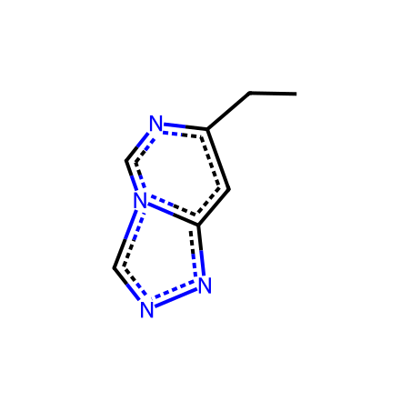 CCc1cc2nncn2cn1